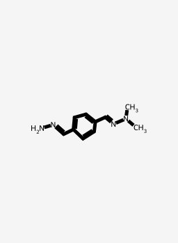 CN(C)/N=C/c1ccc(/C=N/N)cc1